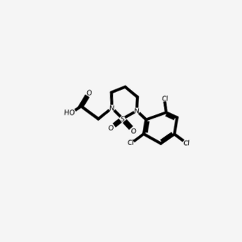 O=C(O)CN1CCCN(c2c(Cl)cc(Cl)cc2Cl)S1(=O)=O